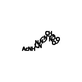 CC(=O)Nc1cnc(N2CCN(C(C)c3ccc4c(n3)OCCO4)CC2)nc1